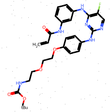 C=CC(=O)Nc1cccc(Nc2nc(Nc3ccc(OCCOCCNC(=O)OC(C)(C)C)cc3)ncc2F)c1